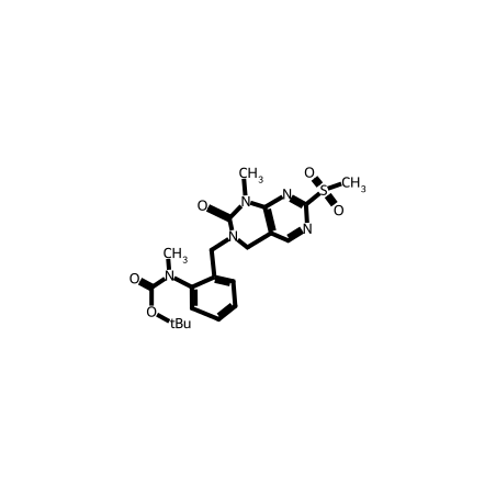 CN(C(=O)OC(C)(C)C)c1ccccc1CN1Cc2cnc(S(C)(=O)=O)nc2N(C)C1=O